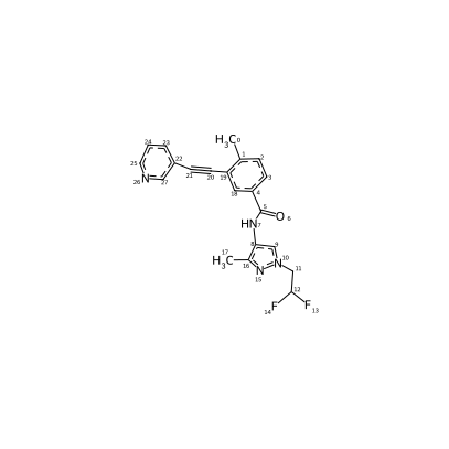 Cc1ccc(C(=O)Nc2cn(CC(F)F)nc2C)cc1C#Cc1cccnc1